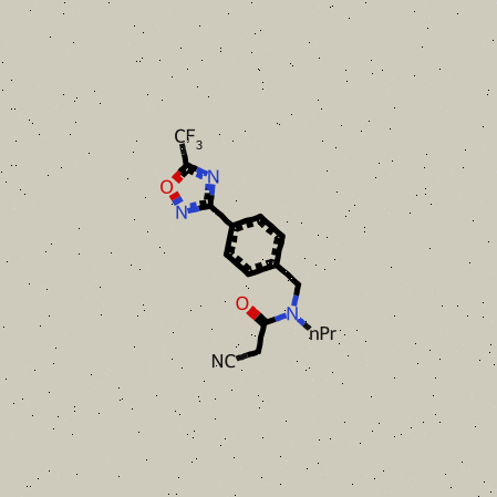 CCCN(Cc1ccc(-c2noc(C(F)(F)F)n2)cc1)C(=O)CC#N